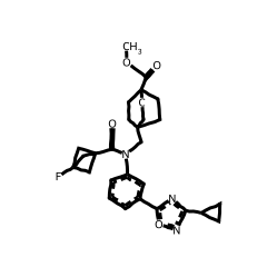 COC(=O)C12CCC(CN(C(=O)C34CC(F)(C3)C4)c3cccc(-c4nc(C5CC5)no4)c3)(CC1)CC2